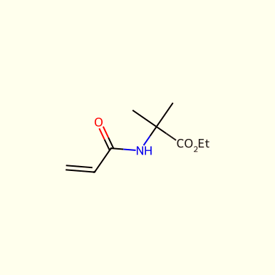 C=CC(=O)NC(C)(C)C(=O)OCC